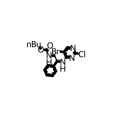 CCCCOC(=O)NC[C@@H](Nc1nc(Cl)ncc1Br)c1ccccc1